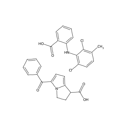 Cc1ccc(Cl)c(Nc2ccccc2C(=O)O)c1Cl.O=C(c1ccccc1)c1ccc2n1CCC2C(=O)O